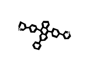 c1ccc(-c2ccc3c(-c4ccc(-c5cccnc5)cc4)c4ccccc4c(-c4ccc(-c5cccnc5)cc4)c3c2)cc1